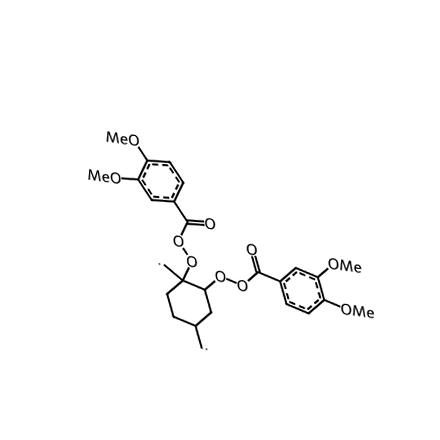 [CH2]C1CCC([CH2])(OOC(=O)c2ccc(OC)c(OC)c2)C(OOC(=O)c2ccc(OC)c(OC)c2)C1